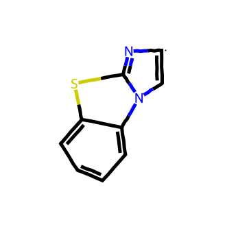 [c]1cn2c(n1)sc1ccccc12